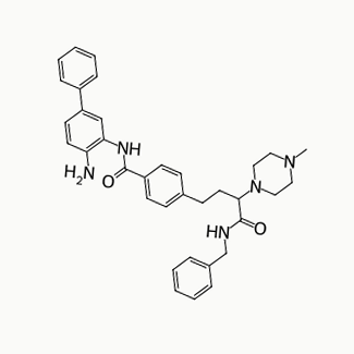 CN1CCN(C(CCc2ccc(C(=O)Nc3cc(-c4ccccc4)ccc3N)cc2)C(=O)NCc2ccccc2)CC1